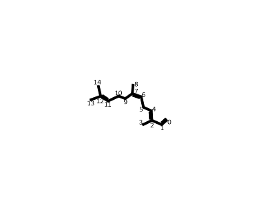 C=CC(C)=CCC=C(C)CCC=C(C)C